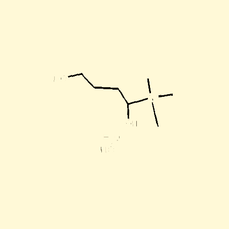 C[N+](C)(C)C(O)CCCO.O.[OH-]